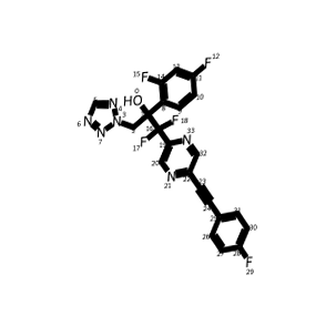 OC(Cn1ncnn1)(c1ccc(F)cc1F)C(F)(F)c1cnc(C#Cc2ccc(F)cc2)cn1